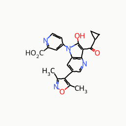 Cc1noc(C)c1-c1cnc2c(C(=O)C3CC3)c(O)n(-c3ccnc(C(=O)O)c3)c2c1